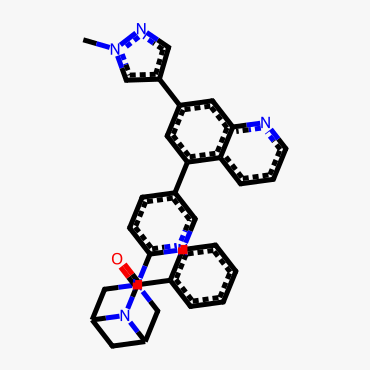 Cn1cc(-c2cc(-c3ccc(N4CC5CC(C4)N5C(=O)c4ccccc4)nc3)c3cccnc3c2)cn1